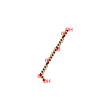 O=C(CSCSCSCSCC[S+]([O-])CSCSCSCSCSC(=O)CSCSCSCSCC[S+]([O-])CSCO)SCSCO